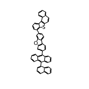 c1ccc2c(-c3c4ccccc4c(-c4ccc5c(c4)oc4cc(-c6cccc7c6sc6ccc8ccccc8c67)ccc45)c4ccccc34)cccc2c1